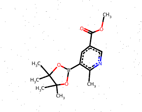 COC(=O)c1cnc(C)c(B2OC(C)(C)C(C)(C)O2)c1